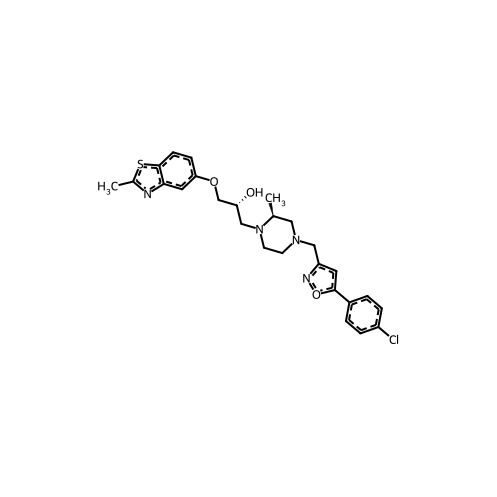 Cc1nc2cc(OC[C@H](O)CN3CCN(Cc4cc(-c5ccc(Cl)cc5)on4)C[C@@H]3C)ccc2s1